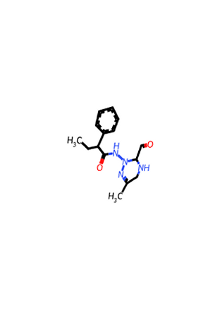 CCC(C(=O)NN1N=C(C)CNC1C=O)c1ccccc1